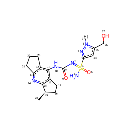 CCn1nc(S(N)(=O)=NC(=O)Nc2c3c(nc4c2CC[C@H]4C)CCC3)cc1CO